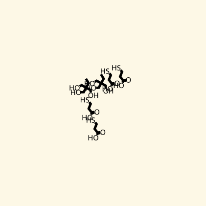 CCC(CO)(CO)CO.CCC(CO)(CO)CO.O=C(O)CCS.O=C(O)CCS.O=C(O)CCS.O=C(O)CCS